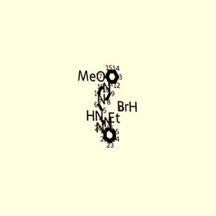 Br.CCn1c(NCCN2CCN(c3ccccc3OC)CC2)nc2ccccc21